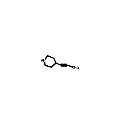 O=CC#CC1CCNCC1